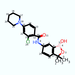 CC1(C)OB(O)c2cc(NC(=O)c3ccc(N4CCCCC4)cc3Cl)ccc21